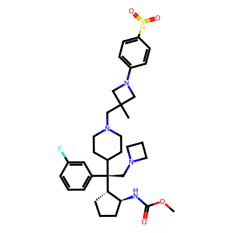 COC(=O)N[C@H]1CCC[C@@H]1[C@](CN1CCC1)(c1cccc(F)c1)C1CCN(CC2(C)CN(c3ccc([SH](=O)=O)cc3)C2)CC1